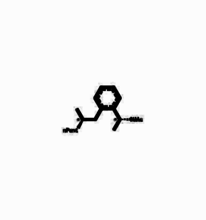 CCCCC[C@@H](C)Cc1ccccc1[C@@H](C)NC